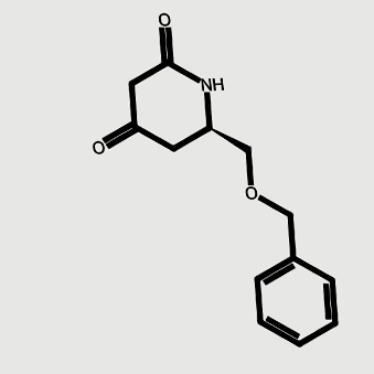 O=C1CC(=O)N[C@@H](COCc2ccccc2)C1